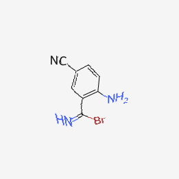 N#Cc1ccc(N)c(C(=N)Br)c1